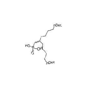 CCCCCCCCCCCCCCC(=CP(=O)(O)O)CCCCCCCCCCCCCC